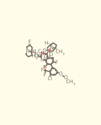 COCOc1cc(Cl)c(C(F)(F)F)c(-c2c(F)cc3c(N4C[C@H]5CC[C@@](C)(C4)N5C(=O)OC(C)(C)C)nc(OC[C@@]45CCCN4C[C@H](F)C5)nc3c2F)c1